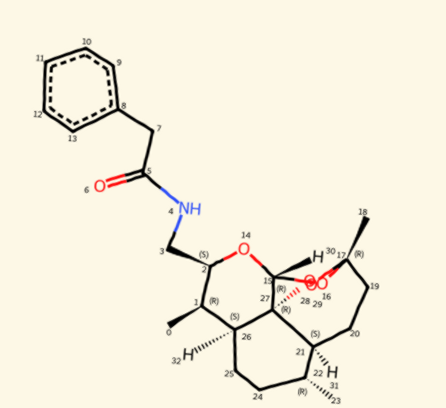 C[C@H]1[C@@H](CNC(=O)Cc2ccccc2)O[C@@H]2O[C@@]3(C)CC[C@H]4[C@H](C)CC[C@@H]1[C@@]24OO3